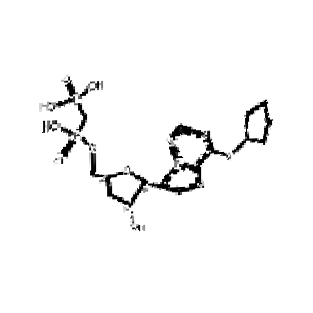 O=P(O)(O)CP(=O)(O)OC[C@@H]1C[C@@H](O)[C@H](c2cnc3c(OC4CCCC4)ncnn23)O1